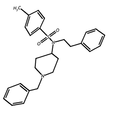 Cc1ccc(S(=O)(=O)N(CCc2ccccc2)C2CCN(Cc3ccccc3)CC2)cc1